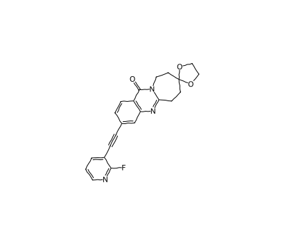 O=c1c2ccc(C#Cc3cccnc3F)cc2nc2n1CCC1(CC2)OCCO1